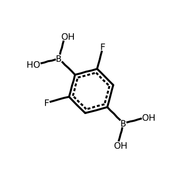 OB(O)c1cc(F)c(B(O)O)c(F)c1